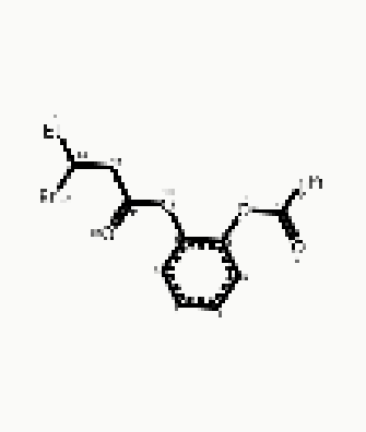 CCCC(=O)Oc1ccccc1OC(=O)CC(CC)CC